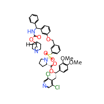 COc1ccc([C@H](Cc2c(Cl)cncc2Cl)OC(=O)[C@@H]2CCCN2S(=O)(=O)c2cccc(COc3cccc([C@@H](NC(=O)O[C@H]4CN5CCC4CC5)c4ccccc4)c3)c2)cc1OC